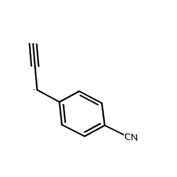 C#C[CH]c1ccc(C#N)cc1